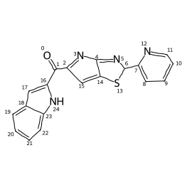 O=C(C1=NC2=NC(c3ccccn3)SC2=C1)c1cc2ccccc2[nH]1